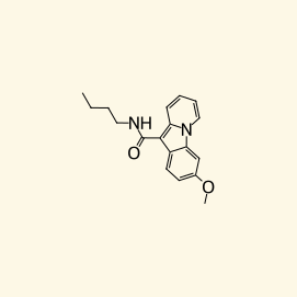 CCCCNC(=O)c1c2ccc(OC)cc2n2ccccc12